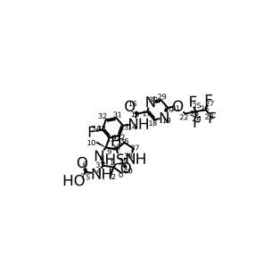 CC1(C)C(NC(=O)O)=N[C@](C)(c2cc(NC(=O)c3cnc(OCC(F)(F)C(F)F)cn3)ccc2F)[C@@H]2CCN[SH]21=O